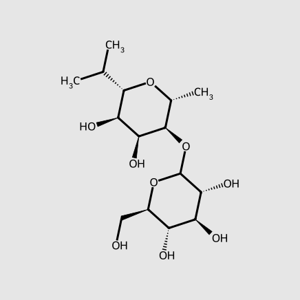 CC(C)[C@@H]1O[C@H](C)[C@@H](OC2O[C@H](CO)[C@@H](O)[C@H](O)[C@H]2O)[C@@H](O)[C@H]1O